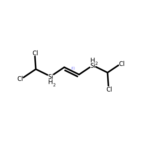 ClC(Cl)[SiH2]/C=C/[SiH2]C(Cl)Cl